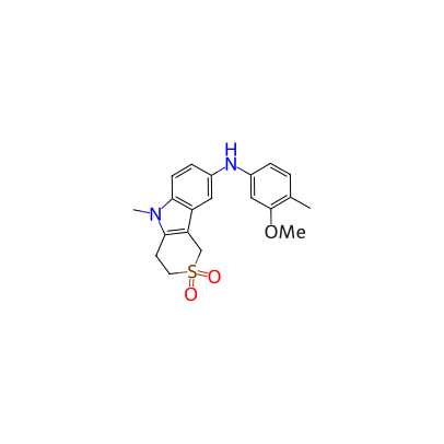 COc1cc(Nc2ccc3c(c2)c2c(n3C)CCS(=O)(=O)C2)ccc1C